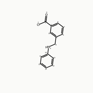 O=C(Cl)c1cccc(CNc2ccccc2)c1